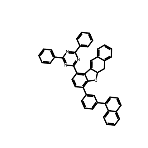 C1=C2c3c(-c4nc(-c5ccccc5)nc(-c5ccccc5)n4)ccc(-c4cccc(-c5cccc6ccccc56)c4)c3OC2Cc2ccccc21